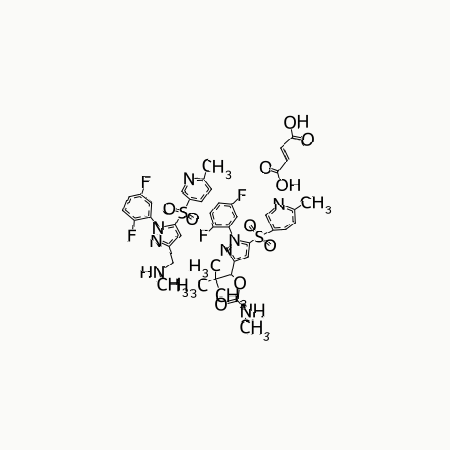 CNC(=O)OC(c1cc(S(=O)(=O)c2ccc(C)nc2)n(-c2cc(F)ccc2F)n1)C(C)(C)C.CNCc1cc(S(=O)(=O)c2ccc(C)nc2)n(-c2cc(F)ccc2F)n1.O=C(O)C=CC(=O)O